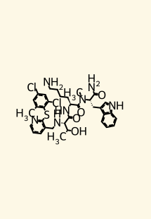 Cc1cc(Cl)cc(Cl)c1Sc1ncccc1CN[C@H](C(=O)N[C@@H](CCCCN)C(=O)N(C)[C@@H](Cc1c[nH]c2ccccc12)C(N)=O)[C@H](C)O